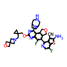 N#Cc1c(N)sc2c(F)cnc(-c3c4c(c5c(N6C7CCC6CNC7)nc(OCC6(CN7CC8(COC8)C7)CC6)nc5c3F)COC4)c12